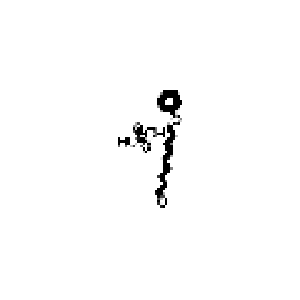 O=CCCCCCCCCOc1ccccc1.O=S(=O)(O)O